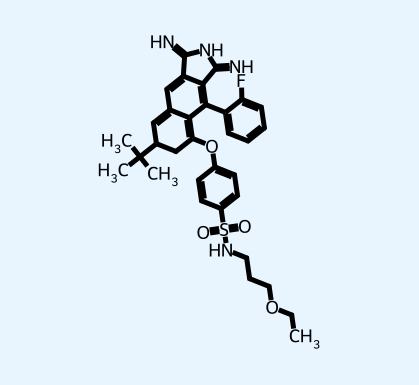 CCOCCCNS(=O)(=O)c1ccc(OC2=c3c(-c4ccccc4F)c4c(cc3=CC(C(C)(C)C)C2)C(=N)NC4=N)cc1